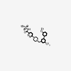 CCOc1cccc(-c2cc(CN3CCN(c4ccc(C(=O)NS(=O)(=O)C(C)(C)C)nn4)CC3)cc(C(F)(F)F)c2)c1